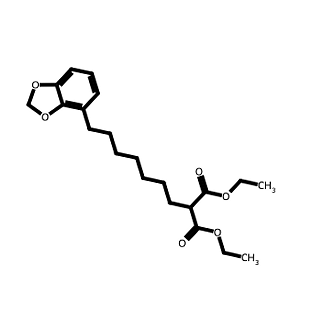 CCOC(=O)C(CCCCCCCc1cccc2c1OCO2)C(=O)OCC